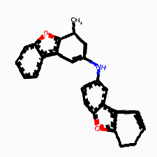 CC1CC(Nc2ccc3oc4c(c3c2)C=CCC4)=Cc2c1oc1ccccc21